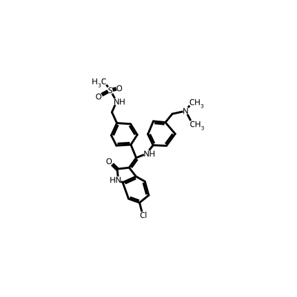 CN(C)Cc1ccc(NC(=C2C(=O)Nc3cc(Cl)ccc32)c2ccc(CNS(C)(=O)=O)cc2)cc1